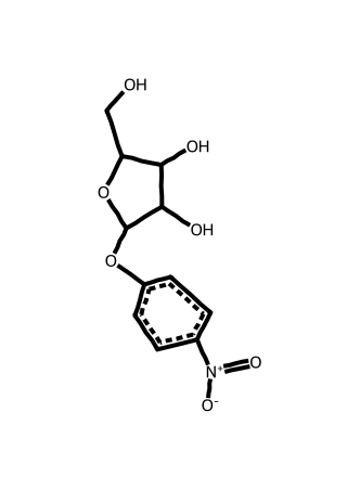 O=[N+]([O-])c1ccc(OC2OC(CO)C(O)C2O)cc1